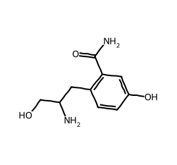 NC(=O)c1cc(O)ccc1CC(N)CO